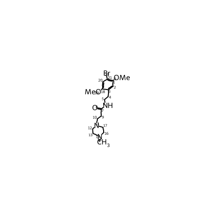 COc1cc(CCNC(=O)CCN2CCN(C)CC2)c(OC)cc1Br